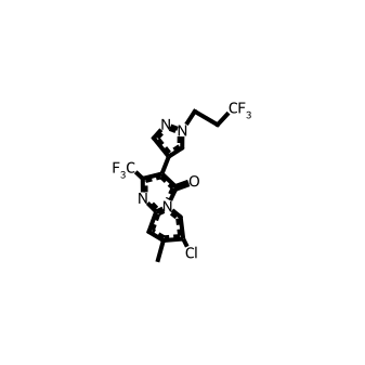 Cc1cc2nc(C(F)(F)F)c(-c3cnn(CCC(F)(F)F)c3)c(=O)n2cc1Cl